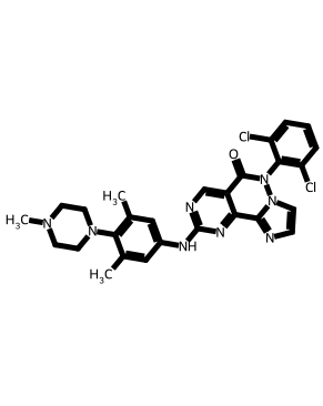 Cc1cc(Nc2ncc3c(=O)n(-c4c(Cl)cccc4Cl)n4ccnc4c3n2)cc(C)c1N1CCN(C)CC1